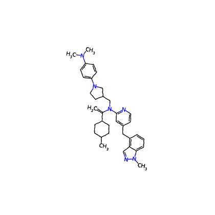 C=C(C1CCC(C)CC1)N(CC1CCN(c2ccc(N(C)C)cc2)C1)c1cc(Cc2cccc3c2cnn3C)ccn1